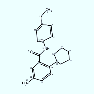 CCc1ccc(NC(=O)c2cc(N)ccc2N2CCCCC2)cc1